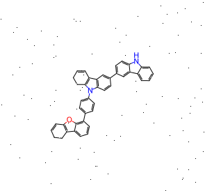 C1=Cc2oc3c(-c4ccc(-n5c6c(c7cc(-c8ccc9[nH]c%10ccccc%10c9c8)ccc75)C=CCC6)cc4)cccc3c2CC1